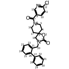 O=C1OC2(CCN(C(=O)c3ccc(Cl)nc3)CC2)CN1Cc1ccccc1-c1ccccc1